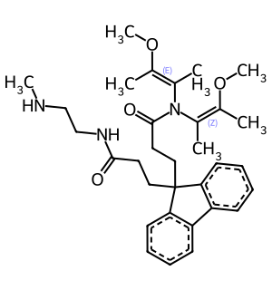 CNCCNC(=O)CCC1(CCC(=O)N(/C(C)=C(/C)OC)/C(C)=C(\C)OC)c2ccccc2-c2ccccc21